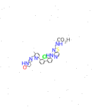 Cc1ccc(-c2cccc(-c3cccc(Nc4nccc5sc(CNCC(=O)O)nc45)c3Cl)c2Cl)nc1CN1CC2(CCC(=O)N2)C1